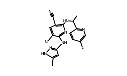 Cc1cc(Nc2nc(NC(C)c3ccc(F)cn3)c(C#N)cc2Cl)n[nH]1